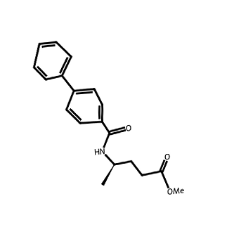 COC(=O)CC[C@@H](C)NC(=O)c1ccc(-c2ccccc2)cc1